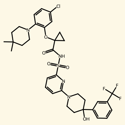 CC1(C)CCN(c2ccc(Cl)cc2OC2(C(=O)NS(=O)(=O)c3cccc(N4CCC(O)(c5cccc(C(F)(F)F)c5)CC4)n3)CC2)CC1